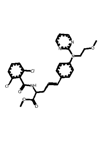 COCCN(c1ccc(/C=C/CC(NC(=O)c2c(Cl)cccc2Cl)C(=O)OC)cc1)c1ncccn1